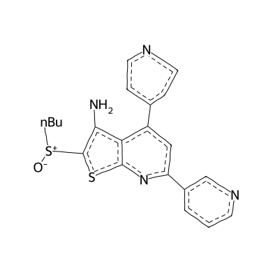 CCCC[S+]([O-])c1sc2nc(-c3cccnc3)cc(-c3ccncc3)c2c1N